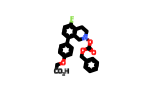 O=C(O)COc1ccc(-c2ccc(F)c3c2CN(OC(=O)OCc2ccccc2)CC3)cc1